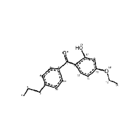 CCCc1ccc(C(=O)c2ccc(OCC)cc2O)cc1